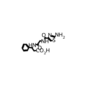 Nc1nc(C(=O)NCC(=O)NC(CC(=O)O)c2ccccc2)cs1